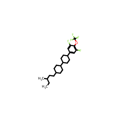 CCC(C)CCC1CCC(C2CCC(c3cc(F)c(OC(F)(F)F)c(F)c3)CC2)CC1